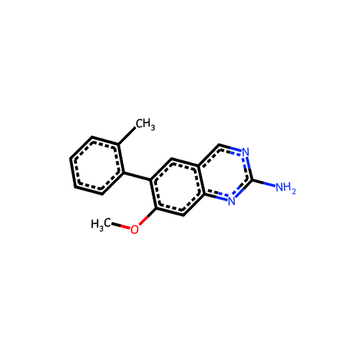 COc1cc2nc(N)ncc2cc1-c1ccccc1C